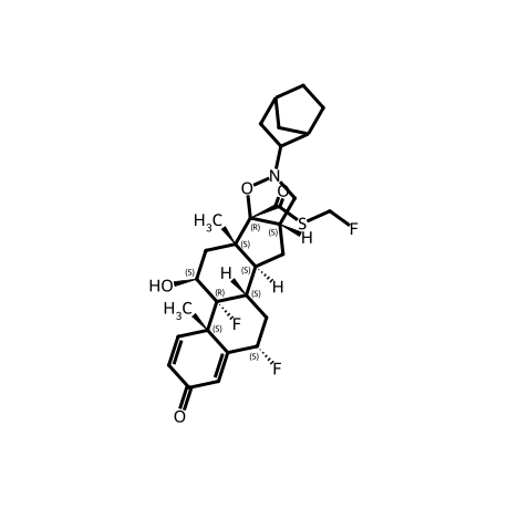 C[C@]12C=CC(=O)C=C1[C@@H](F)C[C@H]1[C@@H]3C[C@H]4CN(C5CC6CCC5C6)O[C@@]4(C(=O)SCF)[C@@]3(C)C[C@H](O)[C@@]12F